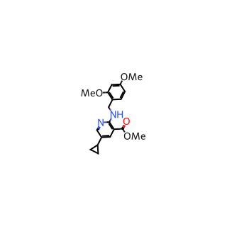 COC(=O)c1cc(C2CC2)cnc1NCc1ccc(OC)cc1OC